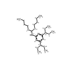 CCCCOC(Nc1nc(N(OC)OC)nc(N(OC)OC)n1)OCCCC